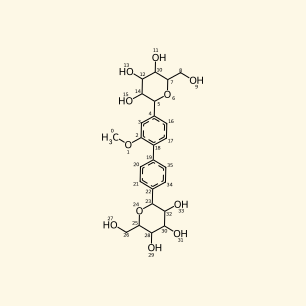 COc1cc(C2OC(CO)C(O)C(O)C2O)ccc1-c1ccc(C2OC(CO)C(O)C(O)C2O)cc1